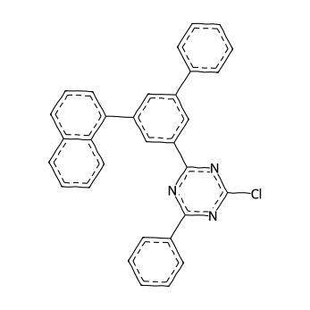 Clc1nc(-c2ccccc2)nc(-c2cc(-c3ccccc3)cc(-c3cccc4ccccc34)c2)n1